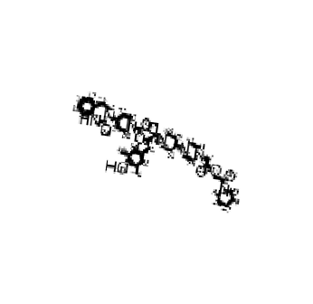 Cc1cc(C[C@@H](OC(=O)N2CCC(N3CCc4ccccc4NC3=O)CC2)C(=O)N2CCC(N3CCN(CC(=O)OCC(=O)N4CCCCC4)CC3)CC2)cc(C)c1O